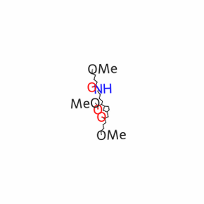 COCCCCC(=O)CC1CCC(C(CCCCNC(=O)CCCCOC)C(=O)OC)C1